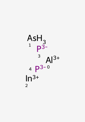 [Al+3].[AsH3].[In+3].[P-3].[P-3]